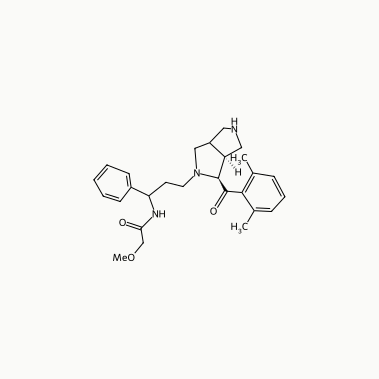 COCC(=O)NC(CCN1CC2CNC[C@H]2[C@H]1C(=O)c1c(C)cccc1C)c1ccccc1